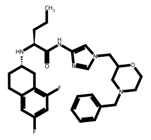 CCC[C@H](N[C@H]1CCc2cc(F)cc(F)c2C1)C(=O)Nc1cn(CC2CN(Cc3ccccc3)CCO2)cn1